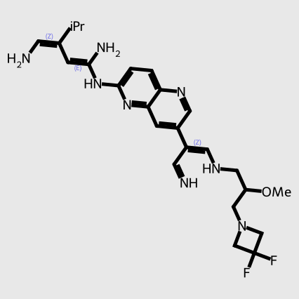 COC(CN/C=C(\C=N)c1cnc2ccc(N/C(N)=C/C(=C\N)C(C)C)nc2c1)CN1CC(F)(F)C1